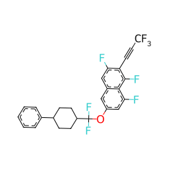 Fc1cc2cc(OC(F)(F)C3CCC(c4ccccc4)CC3)cc(F)c2c(F)c1C#CC(F)(F)F